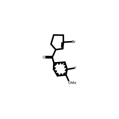 COc1ccc(C(=O)C2C=C(Br)CCC2)cc1F